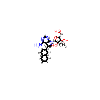 C[C@@]1(O)C(O)[C@@H](CO)O[C@H]1n1cc(-c2ccc3ccccc3c2)c2c(N)ncnc21